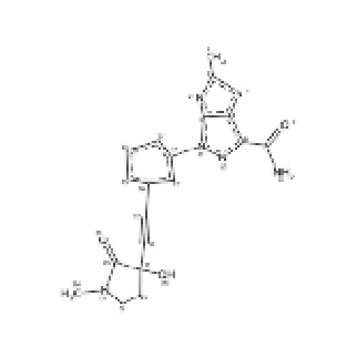 Cc1nc2c(s1)c(C(N)=O)nn2-c1cccc(C#CC2(O)CCN(C)C2=O)c1